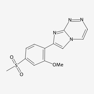 COc1cc(S(C)(=O)=O)ccc1-c1cn2ccnnc2n1